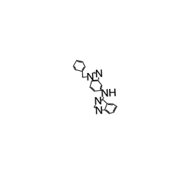 c1ccc(Cn2cnc3cc(Nc4ncnc5ccccc45)ccc32)cc1